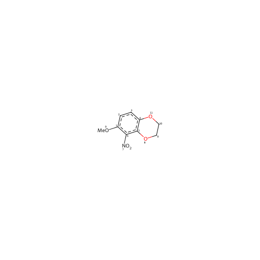 COc1ccc2c(c1[N+](=O)[O-])OCCO2